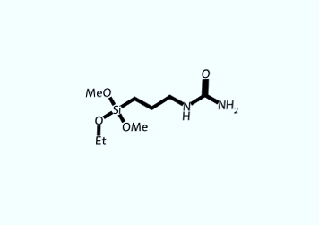 CCO[Si](CCCNC(N)=O)(OC)OC